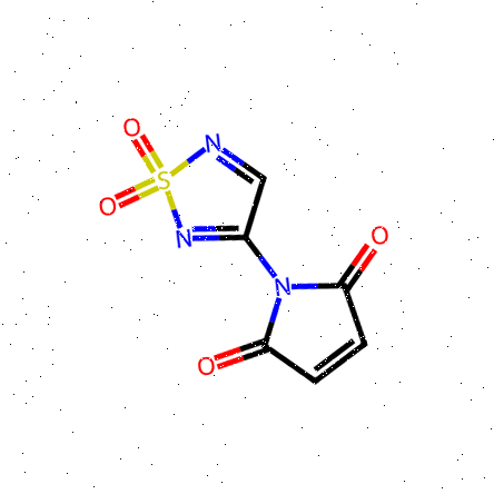 O=C1C=CC(=O)N1C1=NS(=O)(=O)N=C1